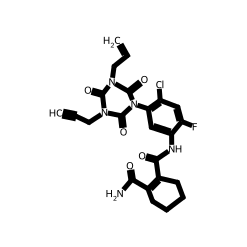 C#CCn1c(=O)n(CC=C)c(=O)n(-c2cc(NC(=O)C3=C(C(N)=O)CCCC3)c(F)cc2Cl)c1=O